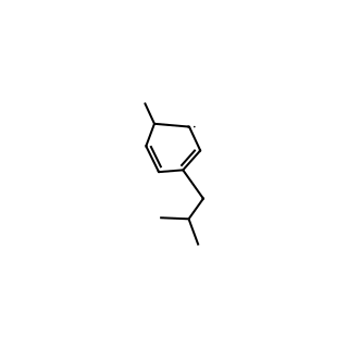 CC1[CH]C=C(CC(C)C)C=C1